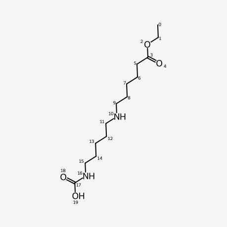 CCOC(=O)CCCCCNCCCCCNC(=O)O